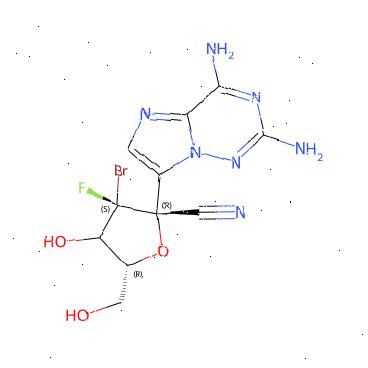 N#C[C@@]1(c2cnc3c(N)nc(N)nn23)O[C@H](CO)C(O)[C@]1(F)Br